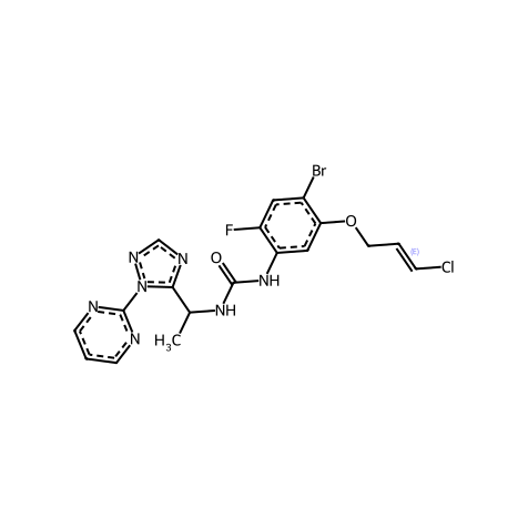 CC(NC(=O)Nc1cc(OC/C=C/Cl)c(Br)cc1F)c1ncnn1-c1ncccn1